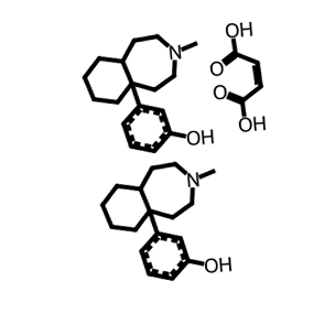 CN1CCC2CCCCC2(c2cccc(O)c2)CC1.CN1CCC2CCCCC2(c2cccc(O)c2)CC1.O=C(O)/C=C\C(=O)O